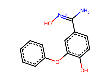 N/C(=N/O)c1ccc(O)c(Oc2ccccc2)c1